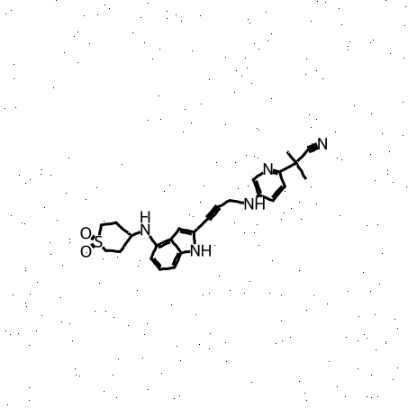 CC(C)(C#N)c1ccc(NCC#Cc2cc3c(NC4CCS(=O)(=O)CC4)cccc3[nH]2)cn1